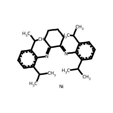 CC(C)c1cccc(C(C)C)c1N=C1CCCCC1=Nc1c(C(C)C)cccc1C(C)C.[Ni]